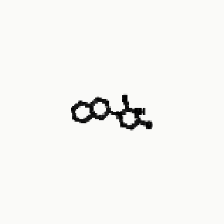 O=c1ccn(-c2ccc3ccccc3c2)c(=S)[nH]1